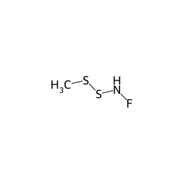 CSSNF